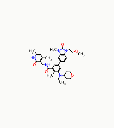 CCN(c1cc(-c2ccc3c(c2)n(C)c(=O)n3CCOC)cc(C(=O)NCc2c(C)cc(C)[nH]c2=O)c1C)C1CCOCC1